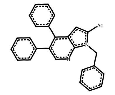 CC(=O)c1cc2c(-c3ccccc3)c(-c3ccccc3)cnc2n1Cc1ccccc1